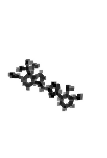 N#Cc1ccc2c(ccn2Cc2noc(-c3cccc(Cl)c3F)n2)c1C(F)(F)F